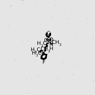 CNN(/C(C)=C/CCN(c1ccc(F)cc1)C(C)(C)C)S(=O)(=O)c1ccccc1